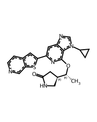 C[C@@H](Oc1nc(-c2cc3ccncc3s2)cc2ncn(C3CC3)c12)[C@H]1CNC(=O)C1